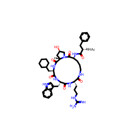 CC(=O)N[C@@H](Cc1ccccc1)C(=O)N[C@H]1CCCNC(=O)[C@H](CCCNC(=N)N)NC(=O)[C@H](Cc2c[nH]c3ccccc23)NC(=O)[C@@H](CC2CCCCC2)NC(=O)[C@@H]2C[C@@H](O)CN2C1=O